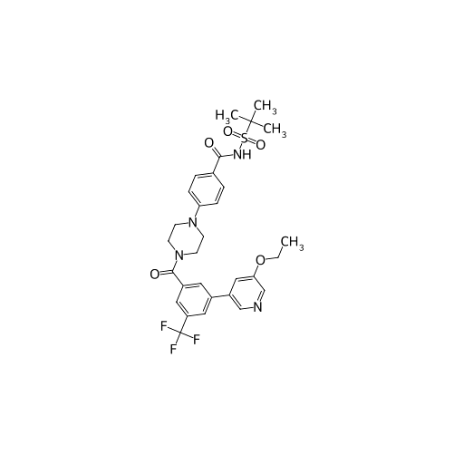 CCOc1cncc(-c2cc(C(=O)N3CCN(c4ccc(C(=O)NS(=O)(=O)C(C)(C)C)cc4)CC3)cc(C(F)(F)F)c2)c1